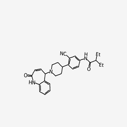 CCC(CC)C(=O)Nc1ccc(C2CCN(C3C=CC(=O)Nc4ccccc43)CC2)c(C#N)c1